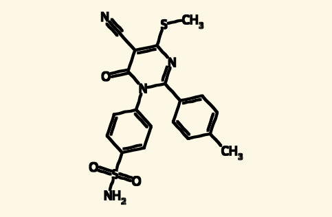 CSc1nc(-c2ccc(C)cc2)n(-c2ccc(S(N)(=O)=O)cc2)c(=O)c1C#N